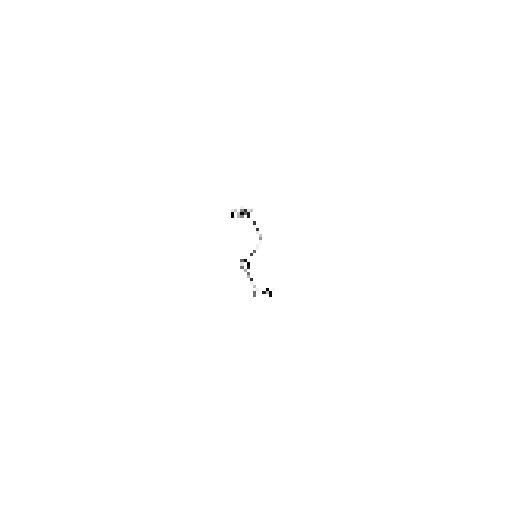 C[CH]COCCCC